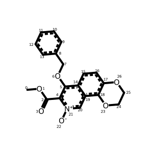 COC(=O)c1c(OCc2ccccc2)c2ccc3c(c2c[n+]1[O-])OCCO3